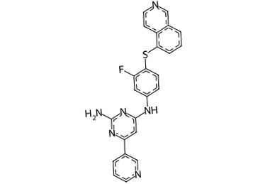 Nc1nc(Nc2ccc(Sc3cccc4cnccc34)c(F)c2)cc(-c2cccnc2)n1